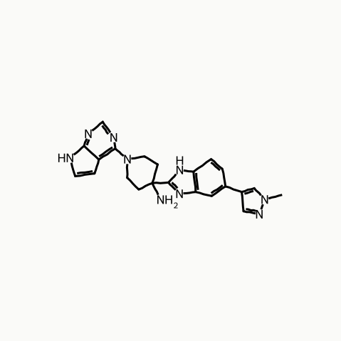 Cn1cc(-c2ccc3[nH]c(C4(N)CCN(c5ncnc6[nH]ccc56)CC4)nc3c2)cn1